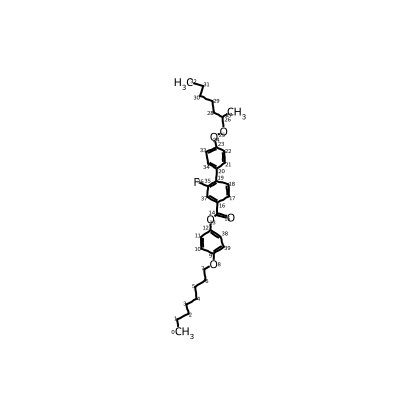 CCCCCCCCOc1ccc(OC(=O)c2ccc(-c3ccc(OOC(C)CCCCC)cc3)c(F)c2)cc1